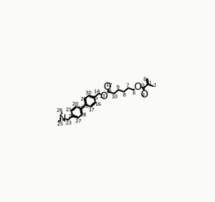 C=C(C)C(=O)OCCCCCC(=O)OCc1ccc(-c2ccc(CN(C)C)cc2)cc1